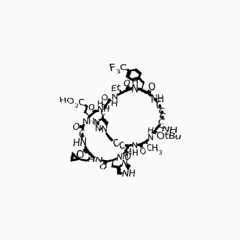 CC[C@@H]1NC(=O)[C@H]2Cc3cn(nn3)CCC[C@@H](NC(=O)[C@H](C)NC(=O)[C@H](NC(C)(C)C)CCCCNC(=O)[C@H](Cc3ccc(C(F)(F)F)cc3)NC1=O)C(=O)N[C@@H](Cc1c[nH]cn1)C(=O)N[C@@H](CC1CC1)C(=O)NCC(=O)N[C@@H](CCC(=O)O)C(=O)N2